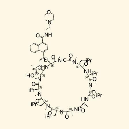 CC[C@@H]1NC(=O)[C@H]([C@H](O)[C@H](C)CC=Cc2ccc(C(=O)NCCN3CCOCC3)c3ccccc23)N(C)C(=O)[C@H](C(C)C)N(C)C(=O)[C@H](CC(C)C)N(C)C(=O)[C@H](CC(C)C)N(C)C(=O)[C@@H](C)NC(=O)[C@H](C)NC(=O)[C@H](CC(C)C)N(C)C(=O)[C@H](C(C)C)NC(=O)[C@H](CC(C)C)N(C)C(=O)CN(C)C1=O